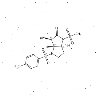 CCC[C@H]1C(=O)N(S(C)(=O)=O)[C@H]2CCN(S(=O)(=O)c3ccc(C(F)(F)F)cc3)[C@H]12